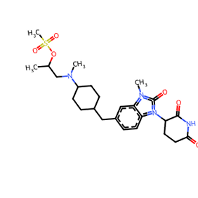 CC(CN(C)C1CCC(Cc2ccc3c(c2)n(C)c(=O)n3C2CCC(=O)NC2=O)CC1)OS(C)(=O)=O